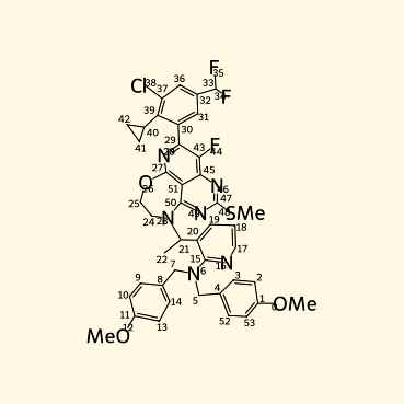 COc1ccc(CN(Cc2ccc(OC)cc2)c2ncccc2C(C)N2CCOc3nc(-c4cc(C(F)F)cc(Cl)c4C4CC4)c(F)c4nc(SC)nc2c34)cc1